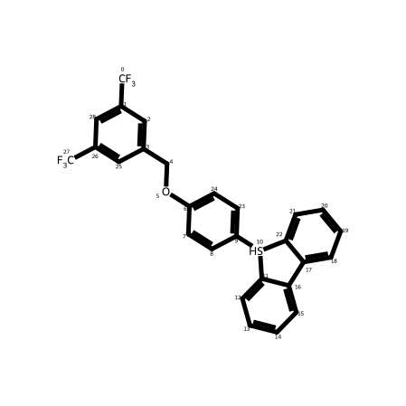 FC(F)(F)c1cc(COc2ccc([SH]3c4ccccc4-c4ccccc43)cc2)cc(C(F)(F)F)c1